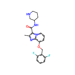 Cc1nc2c(OCc3c(F)cccc3F)cccn2c1C(=O)NC1CCCNC1